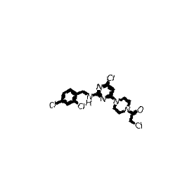 O=C(CCl)N1CCN(c2cc(Cl)nc(NCc3ccc(Cl)cc3Cl)n2)CC1